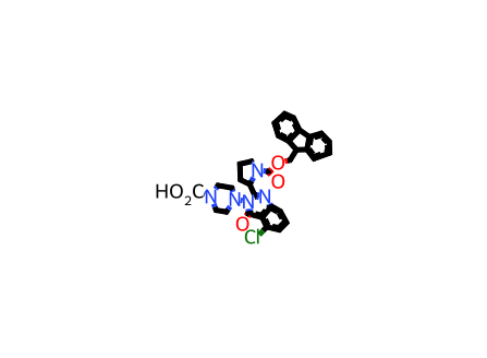 O=C(O)N1CCN(n2c(C3CCCN3C(=O)OCC3c4ccccc4-c4ccccc43)nc3cccc(Cl)c3c2=O)CC1